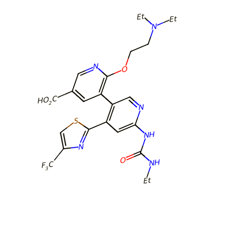 CCNC(=O)Nc1cc(-c2nc(C(F)(F)F)cs2)c(-c2cc(C(=O)O)cnc2OCCN(CC)CC)cn1